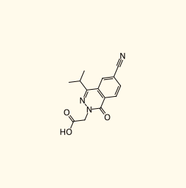 CC(C)c1nn(CC(=O)O)c(=O)c2ccc(C#N)cc12